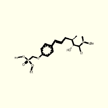 CCOP(=O)(COc1ccc(/C=C/C[C@@H](C)[C@@H](O)C(CC)N(C)C(C)(C)C)cc1)OCC